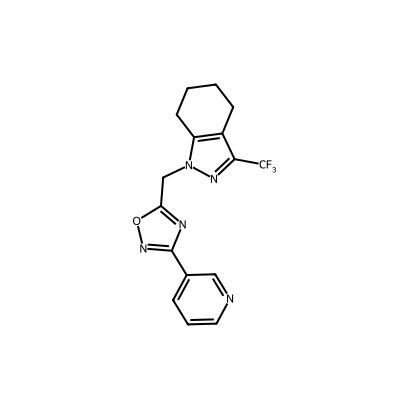 FC(F)(F)c1nn(Cc2nc(-c3cccnc3)no2)c2c1CCCC2